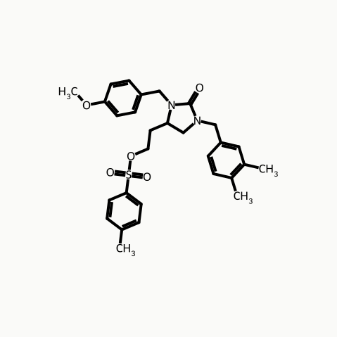 COc1ccc(CN2C(=O)N(Cc3ccc(C)c(C)c3)CC2CCOS(=O)(=O)c2ccc(C)cc2)cc1